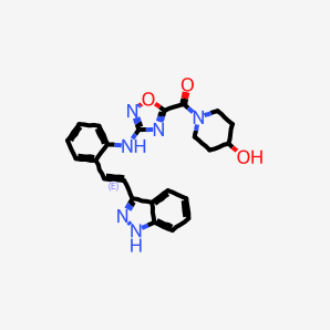 O=C(c1nc(Nc2ccccc2/C=C/c2n[nH]c3ccccc23)no1)N1CCC(O)CC1